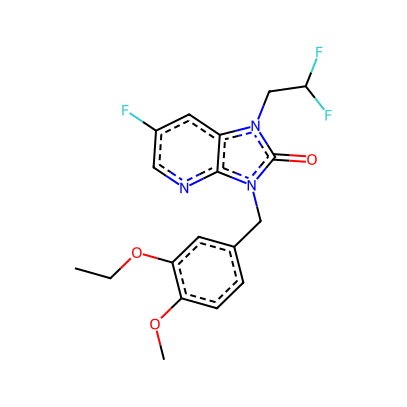 CCOc1cc(Cn2c(=O)n(CC(F)F)c3cc(F)cnc32)ccc1OC